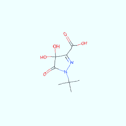 CC(C)(C)N1N=C(C(=O)O)C(O)(O)C1=O